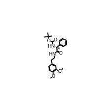 COc1ccc(CCNC(=O)[C@H](NC(=O)OC(C)(C)C)c2ccccc2)cc1OC